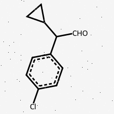 O=CC(c1ccc(Cl)cc1)C1CC1